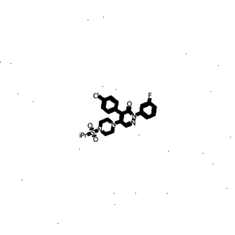 CC(C)S(=O)(=O)N1CCN(c2cnn(-c3cccc(F)c3)c(=O)c2-c2ccc(Cl)cc2)CC1